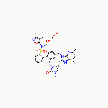 CCc1nc2c(C)cc(C)nc2n1Cc1ccc(-c2ccccc2S(=O)(=O)N(COCCOC)c2onc(C)c2C)c(CN2CCN(C)C2=O)c1